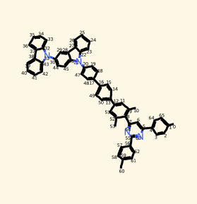 Cc1ccc(-c2cc(-c3c(C)cc(-c4ccc(-c5ccc(-n6c7ccccc7c7cc(-n8c9ccccc9c9ccccc98)ccc76)cc5)cc4)cc3C)nc(-c3ccc(C)cc3)n2)cc1